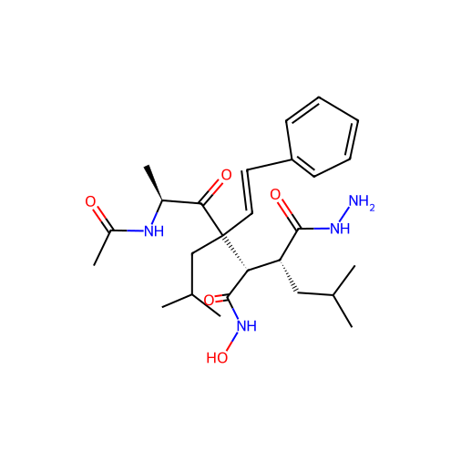 CC(=O)N[C@@H](C)C(=O)C(/C=C/c1ccccc1)(CC(C)C)[C@@H](C(=O)NO)[C@@H](CC(C)C)C(=O)NN